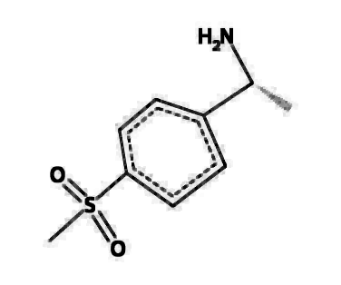 C[C@@H](N)c1ccc(S(C)(=O)=O)cc1